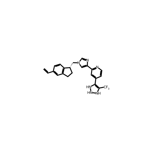 C=Cc1ccc2c(c1)CC[C@H]2Cn1cnc(-c2cc(C3=C(C(F)(F)F)NNN3)ccn2)c1